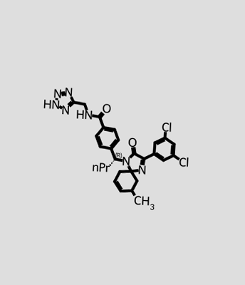 CCC[C@H](c1ccc(C(=O)NCc2nn[nH]n2)cc1)N1C(=O)C(c2cc(Cl)cc(Cl)c2)=NC12CC=CC(C)C2